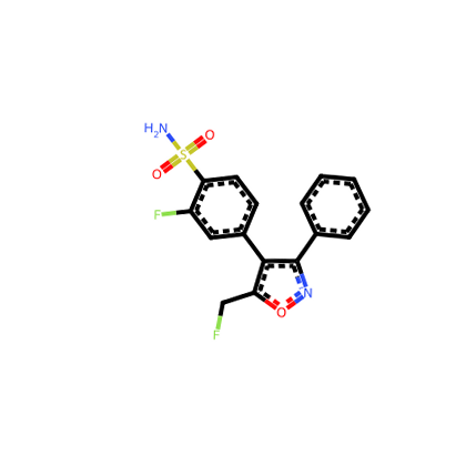 NS(=O)(=O)c1ccc(-c2c(-c3ccccc3)noc2CF)cc1F